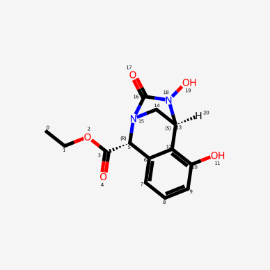 CCOC(=O)[C@H]1c2cccc(O)c2[C@H]2CN1C(=O)N2O